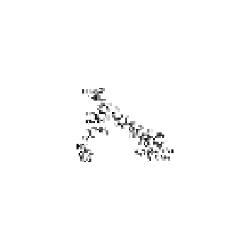 CC[C@H](C)[C@@H]([C@@H](CC(N)=O)OC)N(C)C(=O)[C@@H](NC(=O)C(C)(C)NC(=O)OCc1ccc(NC(=O)[C@H](CCCNC(N)=O)NC(=O)[C@@H](NC(=O)[C@@H](N)CCCCNC(=O)OC(C)(C)C)C(C)C)cc1)C(C)C